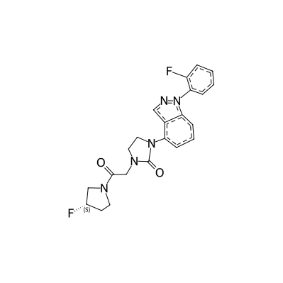 O=C(CN1CCN(c2cccc3c2cnn3-c2ccccc2F)C1=O)N1CC[C@H](F)C1